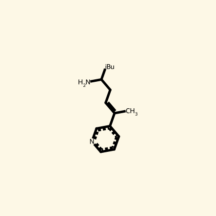 CCC(C)C(N)CC=C(C)c1cccnc1